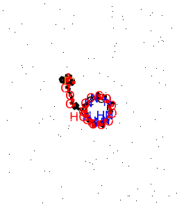 CC[C@@H]1CC(=O)[C@H]([C@H](O)[C@H](C)C/C=C/c2ccc(C(=O)CCCOCCCC(=O)CC[P+](c3ccccc3)(c3ccccc3)c3ccccc3)cc2)N(C)C(=O)[C@H](C(C)C)N(C)C(=O)[C@H](CC(C)C)N(C)C(=O)[C@H](CC(C)C)N(C)C(=O)[C@@H](C)NC(=O)[C@H](C)CC(=O)[C@H](CC(C)C)N(C)C(=O)[C@H](C(C)C)CC(=O)[C@H](CC(C)C)N(C)C(=O)CN(C)C1=O